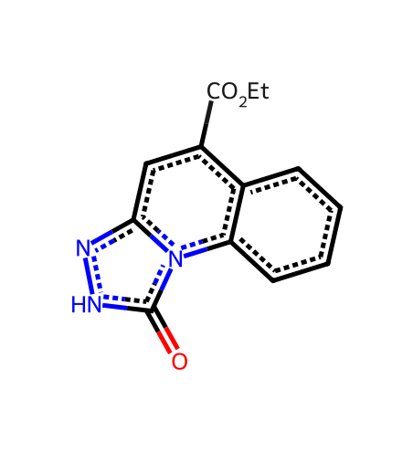 CCOC(=O)c1cc2n[nH]c(=O)n2c2ccccc12